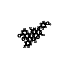 COc1ccc(CN2CN(C)C(=O)c3c2nc(C)nc3N2CCCC2c2nc3cccc(Cl)c3c(=O)n2-c2cccc(C)c2)cc1